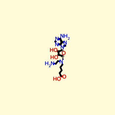 NCCN(CCCCC(=O)O)C[C@H]1O[C@@H](n2cnc3c(N)ncnc32)[C@H](O)[C@@H]1O